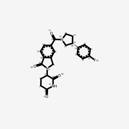 O=C1CCC(N2Cc3cc(C(=O)N4CC[C@H](c5ccc(F)cc5)C4)ccc3C2=O)C(=O)N1